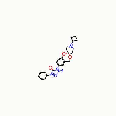 O=C(Nc1ccccc1)Nc1ccc2c(c1)COC1(CCN(C3CCC3)CC1)O2